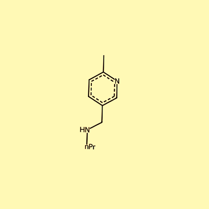 CCCNCc1ccc(C)nc1